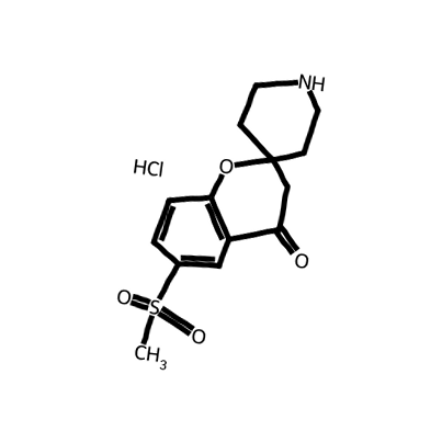 CS(=O)(=O)c1ccc2c(c1)C(=O)CC1(CCNCC1)O2.Cl